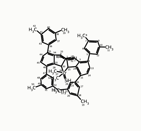 CCC(C)C1=Cc2c(-c3cc(C)cc(C)c3)ccc(-c3cc(C)cc(C)c3)c2[CH]1[Zr]([CH3])([CH3])(=[SiH2])[CH]1C(C(C)CC)=Cc2c(-c3cc(C)cc(C)c3)ccc(-c3cc(C)cc(C)c3)c21